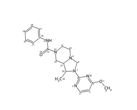 COc1ccnc(N2CN3CCN(C(=O)Nc4ccccc4)CC3C2C)n1